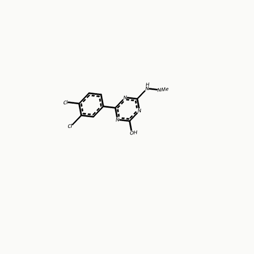 CNNc1nc(O)nc(-c2ccc(Cl)c(Cl)c2)n1